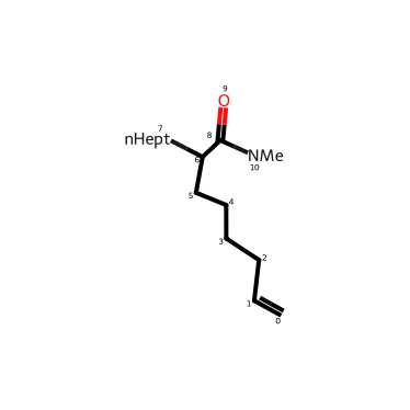 C=CCCCCC(CCCCCCC)C(=O)NC